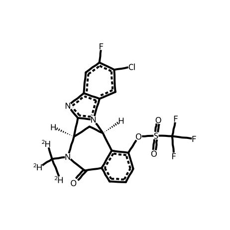 [2H]C([2H])([2H])N1C(=O)c2cccc(OS(=O)(=O)C(F)(F)F)c2[C@H]2C[C@@H]1c1nc3cc(F)c(Cl)cc3n12